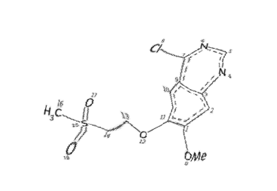 COc1cc2ncnc(Cl)c2cc1OCCS(C)(=O)=O